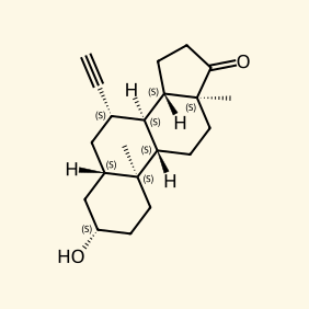 C#C[C@H]1C[C@H]2C[C@@H](O)CC[C@]2(C)[C@H]2CC[C@]3(C)C(=O)CC[C@H]3[C@H]12